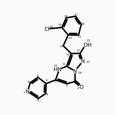 O=c1cc(-c2ccncc2)[nH]c2c(Cc3ccccc3Cl)c(O)nn12